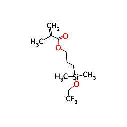 C=C(C)C(=O)OCCC[Si](C)(C)OCC(F)(F)F